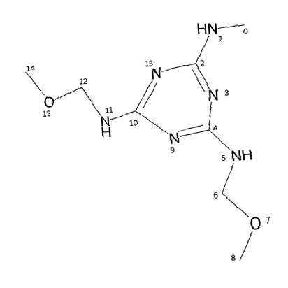 CNc1nc(NCOC)nc(NCOC)n1